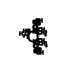 C/C1=C(\O)C[N+]2=C(/C=C/C=C3\N(CCCS1)c1ccc(S(=O)(=O)O)cc1C3(C)C)C(C)(C)c1cc(S(=O)(=O)O)ccc12